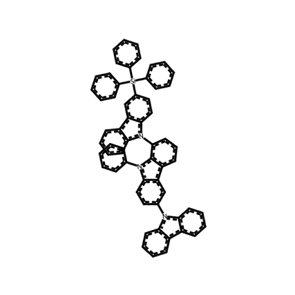 c1ccc(-n2c3ccc(-n4c5ccccc5c5ccccc54)cc3c3cccc(-n4c5ccccc5c5cc([Si](c6ccccc6)(c6ccccc6)c6ccccc6)ccc54)c32)cc1